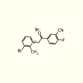 Cc1c(Br)ccc[n+]1CC(=O)c1ccc(F)c(C#N)c1.[Br-]